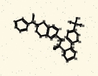 C[C@H](c1ccccc1)N1CCc2cc(NC(=O)c3ccccc3-c3ccc(C(F)(F)F)cc3)ccc2C1